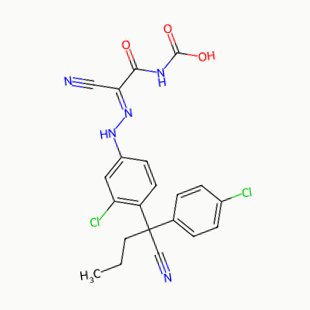 CCCC(C#N)(c1ccc(Cl)cc1)c1ccc(N/N=C(\C#N)C(=O)NC(=O)O)cc1Cl